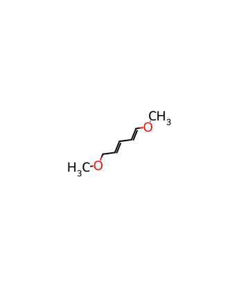 COC=CC=CCOC